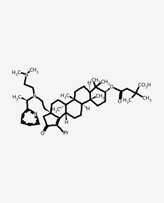 CC(C)C1=C2[C@H]3CC[C@@H]4[C@@]5(C)CC[C@H](OC(=O)CC(C)(C)C(=O)O)C(C)(C)[C@@H]5CC[C@@]4(C)[C@]3(C)CC[C@@]2(CCN(CCN(C)C)[C@H](C)c2ccccn2)CC1=O